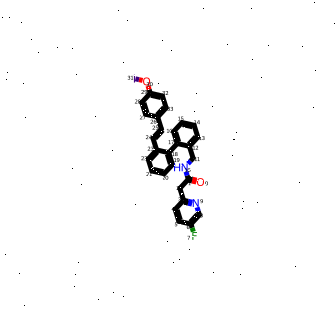 O=C(Cc1ccc(F)cn1)NCc1ccccc1-c1ccccc1/C=C/c1ccc(OI)cc1